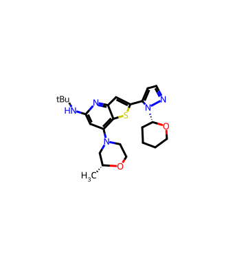 C[C@@H]1CN(c2cc(NC(C)(C)C)nc3cc(-c4ccnn4[C@H]4CCCCO4)sc23)CCO1